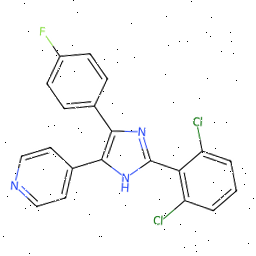 Fc1ccc(-c2nc(-c3c(Cl)cccc3Cl)[nH]c2-c2ccncc2)cc1